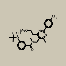 COCCc1nc(-c2ccc(C(F)(F)F)cc2)nc(C)c1CN(C)C(=O)c1cccc(OC(C)(C)C(=O)O)c1